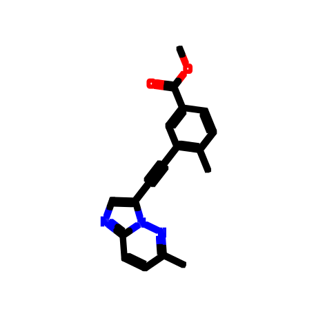 COC(=O)c1ccc(C)c(C#Cc2cnc3ccc(C)nn23)c1